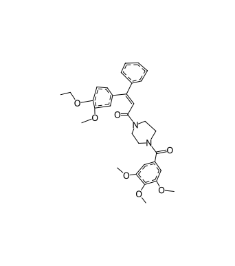 CCOc1ccc(/C(=C\C(=O)N2CCN(C(=O)c3cc(OC)c(OC)c(OC)c3)CC2)c2ccccc2)cc1OC